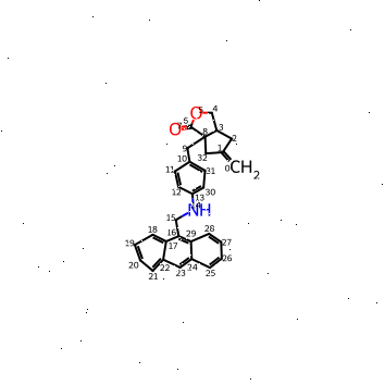 C=C1CC2COC(=O)C2(Cc2ccc(NCc3c4ccccc4cc4ccccc34)cc2)C1